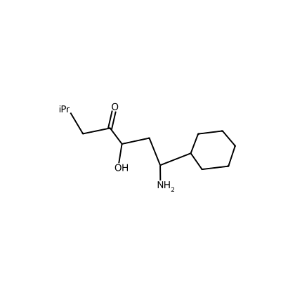 CC(C)CC(=O)C(O)CC(N)C1CCCCC1